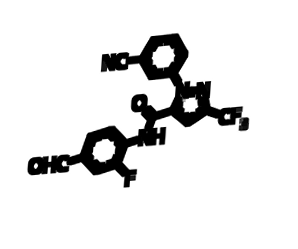 N#Cc1cccc(-n2nc(C(F)(F)F)cc2C(=O)Nc2ccc(C=O)cc2F)c1